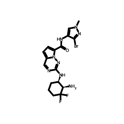 Cn1cc(NC(=O)c2ccc3cnc(N[C@@H]4CCCC(F)(F)[C@@H]4N)nn23)c(Br)n1